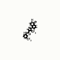 O=C(Nc1ccnc(C(F)(F)F)c1)c1cnn(-c2cccc3c(=O)[nH]cnc23)c1C(F)(F)F